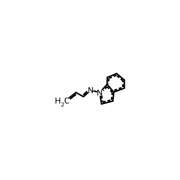 C=CC=Nn1ccc2ccccc21